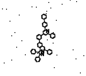 c1ccc(-c2ccc(-c3cc(-c4cccc(-c5ccc6c(c5)cc(-c5ccccc5)n5nc(-c7ccccc7)c(-c7ccccc7)c65)c4)cc(-c4ccccc4)n3)cc2)cc1